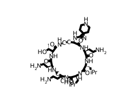 CC(C)C[C@@H]1NC(=O)[C@@H](CC(C)C)NC(=O)[C@H](CCN)NC(=O)[C@@H](NC2=NC23CCNCC3)CCNC(=O)[C@H]([C@@H](C)O)NC(=O)[C@H](CCN)NC[C@@](C=O)(CCN)NC1=O